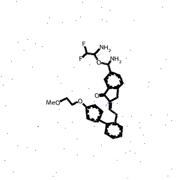 COCCOc1ccc(-c2ccccc2C/C=C2\Cc3ccc(C(N)OC(N)C(F)F)cc3C2=O)cc1